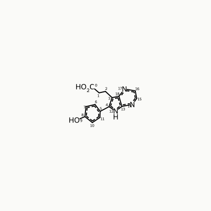 O=C(O)CCc1c(-c2ccc(O)cc2)[nH]c2nccnc12